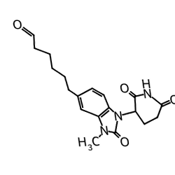 Cn1c(=O)n(C2CCC(=O)NC2=O)c2ccc(CCCCCC=O)cc21